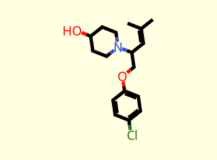 CC(C)=CC(COc1ccc(Cl)cc1)N1CCC(O)CC1